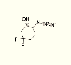 [N-]=[N+]=NC1CCC(F)(F)C[C@@H]1O